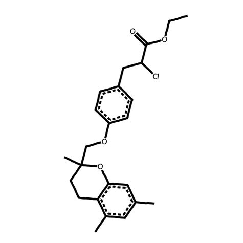 CCOC(=O)C(Cl)Cc1ccc(OCC2(C)CCc3c(C)cc(C)cc3O2)cc1